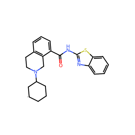 O=C(Nc1nc2ccccc2s1)c1cccc2c1CN(C1C[CH]CCC1)CC2